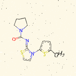 Cc1ccc(-n2ccsc2=NC(=O)N2CCCC2)s1